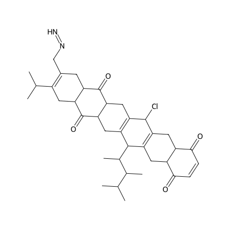 CC(C)C1=C(CN=N)CC2C(=O)C3CC4=C(CC3C(=O)C2C1)C(C(C)C(C)C(C)C)C1=C(CC2C(=O)C=CC(=O)C2C1)C4Cl